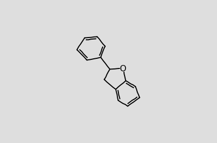 c1ccc(C2Cc3ccccc3O2)cc1